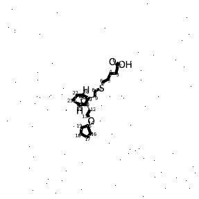 O=C(O)CCCCSCC[C@@H]1[C@H](CCOC2CCCC2)[C@@H]2CC[C@H]1O2